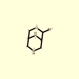 [2H]C1OCC2CNCC1N2